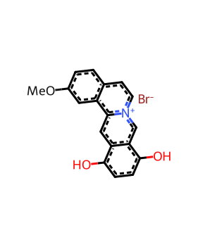 COc1ccc2cc[n+]3cc4c(O)ccc(O)c4cc3c2c1.[Br-]